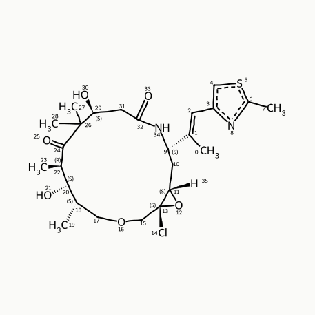 CC(=Cc1csc(C)n1)[C@@H]1C[C@@H]2O[C@]2(Cl)COC[C@H](C)[C@H](O)[C@@H](C)C(=O)C(C)(C)[C@@H](O)CC(=O)N1